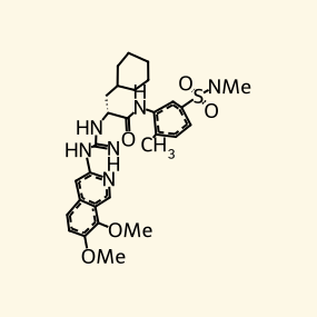 CNS(=O)(=O)c1ccc(C)c(NC(=O)[C@@H](CC2CCCCC2)NC(=N)Nc2cc3ccc(OC)c(OC)c3cn2)c1